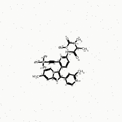 Cc1ccn2c(-c3ccc(NC(=O)C(C)N(C)C(=O)OC(C)(C)C)nc3C#CS(C(C)C)(C(C)C)C(C)C)c(-c3ccnc(C)c3)nc2c1